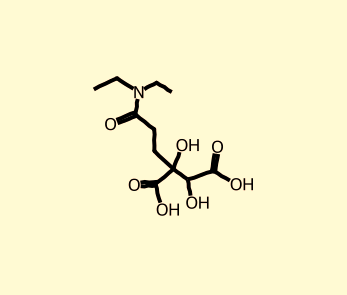 CCN(CC)C(=O)CCC(O)(C(=O)O)C(O)C(=O)O